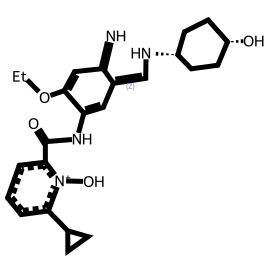 CCOC1=CC(=N)/C(=C\N[C@H]2CC[C@@H](O)CC2)C=C1NC(=O)c1cccc(C2CC2)[n+]1O